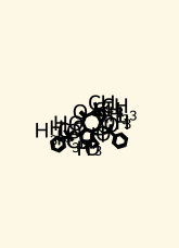 CC1=C2C(=O)[C@H](O)[C@]3(C)[C@@H](OC(C)(C)c4ccccc4)C[C@H]4OC[C@@]4(C)[C@H]3[C@H](OC(=O)c3ccccc3)[C@](O)(C[C@@H]1C)C2(C)C